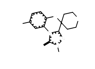 Cc1ccc2c(c1)-n1c(nn(C)c1=O)C1(CCOCC1)O2